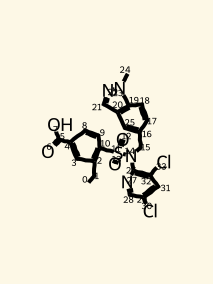 CCc1cc(C(=O)O)ccc1S(=O)(=O)N(Cc1ccc2c(cnn2C)c1)c1ncc(Cl)cc1Cl